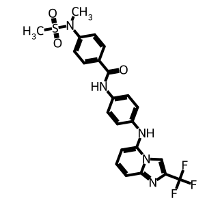 CN(c1ccc(C(=O)Nc2ccc(Nc3cccc4nc(C(F)(F)F)cn34)cc2)cc1)S(C)(=O)=O